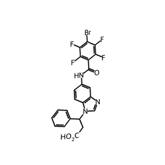 O=C(O)CC(c1ccccc1)n1cnc2cc(NC(=O)c3c(F)c(F)c(Br)c(F)c3F)ccc21